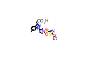 CCOc1ncc(S(=O)(=O)N2CC[C@@H](n3nc(CC(=O)O)c4ccc(C)cc43)C2)s1